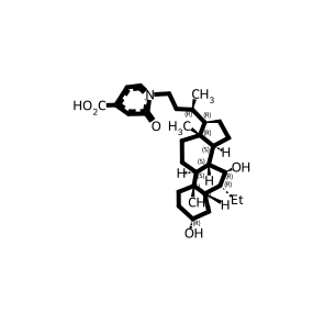 CC[C@H]1[C@@H](O)[C@@H]2[C@H](CC[C@]3(C)[C@@H]([C@H](C)CCn4ccc(C(=O)O)cc4=O)CC[C@@H]23)[C@@]2(C)CC[C@@H](O)C[C@@H]12